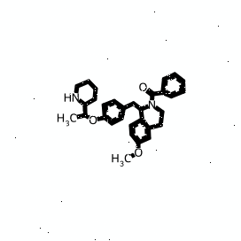 COc1ccc2c(c1)CCN(C(=O)c1ccccc1)C2Cc1ccc(OC(C)C2CCCCN2)cc1